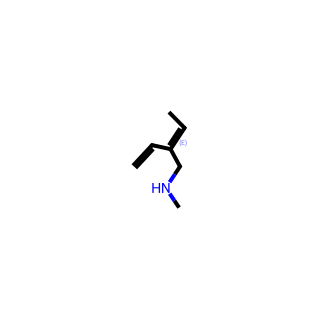 C=C/C(=C\C)CNC